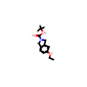 CCOc1ccc2c(c1)CN(C(=O)OC(C)(C)C)C2